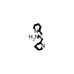 NN(Cc1ccccn1)Cc1ccccn1